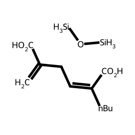 C=C(CC=C(CCCC)C(=O)O)C(=O)O.[SiH3]O[SiH3]